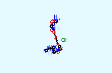 CN1CCC(Nc2cccc(C(=O)N[C@H]3CCOc4ccc(OCCCCCOCCCOCC(=O)Nc5cccc6c5CN(C5CCC(=O)NC5=O)C6=O)cc43)c2)(c2nnc(-c3ccncc3)[nH]2)CC1.Cl